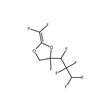 FC(F)=C1OCC(F)(C(F)C(F)(F)C(F)F)O1